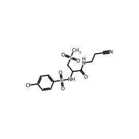 CS(=O)(=O)CC(NS(=O)(=O)c1ccc(Cl)cc1)C(=O)NCCC#N